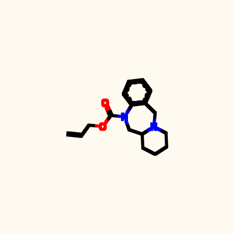 C=CCOC(=O)N1CC2CCCCN2Cc2ccccc21